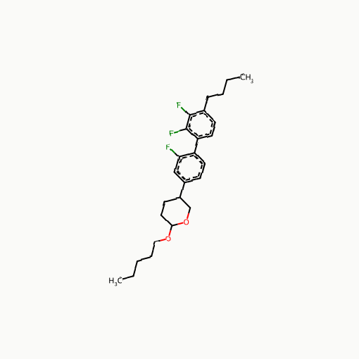 CCCCCOC1CCC(c2ccc(-c3ccc(CCCC)c(F)c3F)c(F)c2)CO1